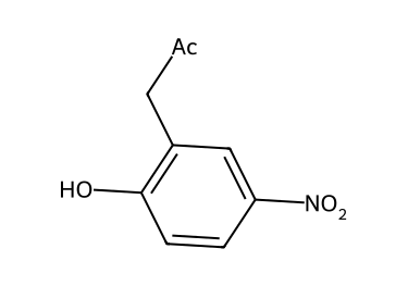 CC(=O)Cc1cc([N+](=O)[O-])ccc1O